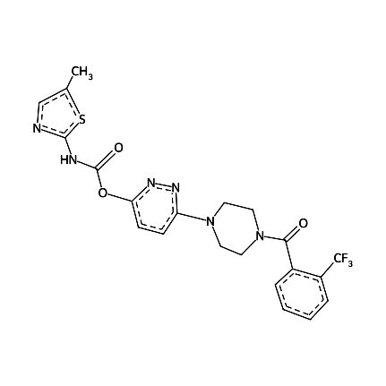 Cc1cnc(NC(=O)Oc2ccc(N3CCN(C(=O)c4ccccc4C(F)(F)F)CC3)nn2)s1